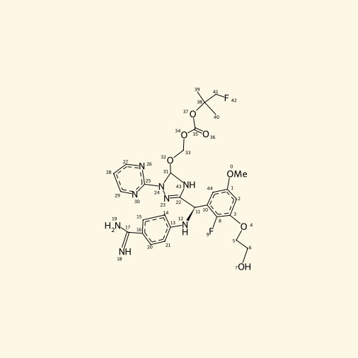 COc1cc(OCCO)c(F)c([C@@H](Nc2ccc(C(=N)N)cc2)C2=NN(c3ncccn3)C(OCOC(=O)OC(C)(C)CF)N2)c1